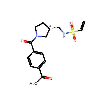 C=CS(=O)(=O)NC[C@H]1CCN(C(=O)c2ccc(C(=O)OC)cc2)C1